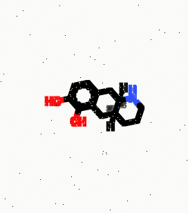 Oc1ccc2c(c1O)C[C@H]1CCCN[C@@H]1C2